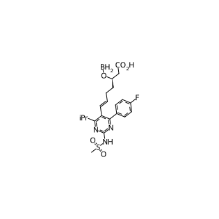 BO[C@H](CC/C=C/c1c(-c2ccc(F)cc2)nc(NS(C)(=O)=O)nc1C(C)C)CC(=O)O